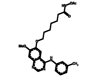 COc1cc2ncnc(Nc3cccc(C)c3)c2cc1OCCCCCCC(=O)NOC(C)=O